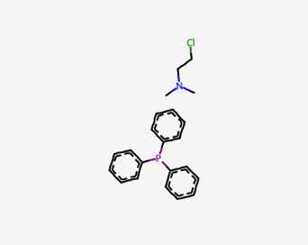 CN(C)CCCl.c1ccc(P(c2ccccc2)c2ccccc2)cc1